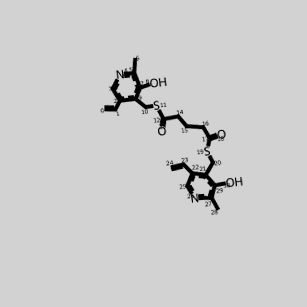 C=Cc1cnc(C)c(O)c1CSC(=O)CCCC(=O)SCc1c(C=C)cnc(C)c1O